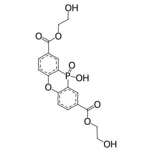 O=C(OCCO)c1ccc2c(c1)P(=O)(O)c1cc(C(=O)OCCO)ccc1O2